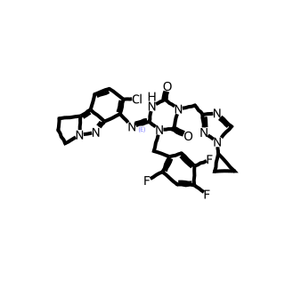 O=c1[nH]/c(=N\c2c(Cl)ccc3c4n(nc23)CCC4)n(Cc2cc(F)c(F)cc2F)c(=O)n1Cc1ncn(C2CC2)n1